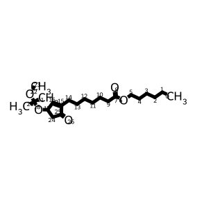 CCCCCCOC(=O)CCCCCCC1=CC(OC(C)(C)OC)CC1=O